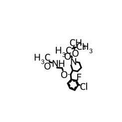 CC(=O)NCCO[C@@H](c1cccc(Cl)c1F)C1CCCN(C(=O)OC(C)(C)C)C1